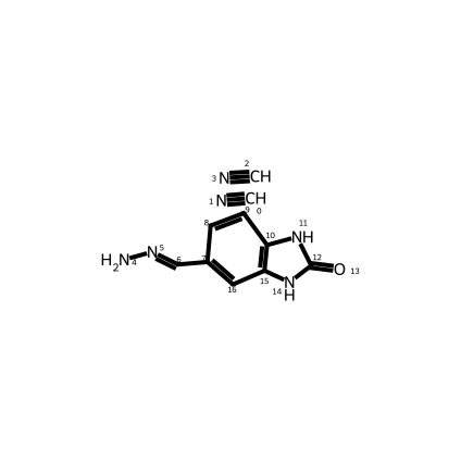 C#N.C#N.NN=Cc1ccc2[nH]c(=O)[nH]c2c1